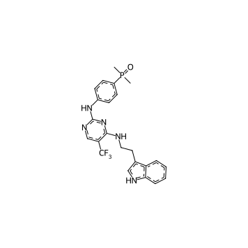 CP(C)(=O)c1ccc(Nc2ncc(C(F)(F)F)c(NCCc3c[nH]c4ccccc34)n2)cc1